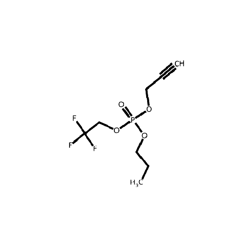 C#CCOP(=O)(OCCC)OCC(F)(F)F